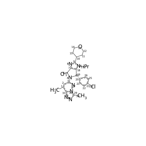 Cc1cc(N2C(=O)c3nc(C4CCOCC4)n(C(C)C)c3[C@@H]2c2ccc(Cl)cc2)nn2c(C)nnc12